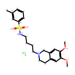 COc1cc2c(cc1OC)CN(CCCCNS(=O)(=O)c1cccc(C)c1)CC2.Cl